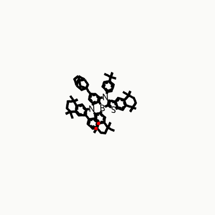 CC(C)(C)c1ccc(N2c3cc(C45CC6CC(C4)C(C6)C5)cc4c3B(c3cc5c(cc3N4c3cc4c(cc3-c3ccccc3)C(C)(C)CCC4(C)C)C(C)(C)CCC5(C)C)c3sc4cc5c(cc4c32)C(C)(C)CCC5(C)C)cc1